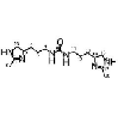 CC1=NC(CCCNC(=O)NCCCC2CNC(C)=N2)CN1